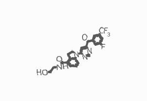 O=C(c1cc(F)cc(C(F)(F)F)c1)c1cc(N2CCc3c(C(=O)NCCO)cccc32)ncn1